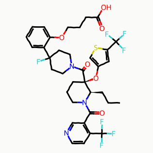 CCC[C@H]1N(C(=O)c2cnccc2C(F)(F)F)CCC[C@]1(Oc1csc(C(F)(F)F)c1)C(=O)N1CCC(F)(c2ccccc2OCCCC(=O)O)CC1